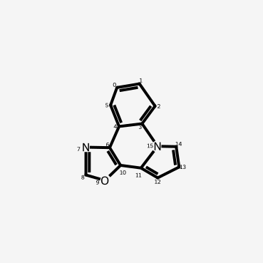 c1ccc2c(c1)c1ncoc1c1cccn21